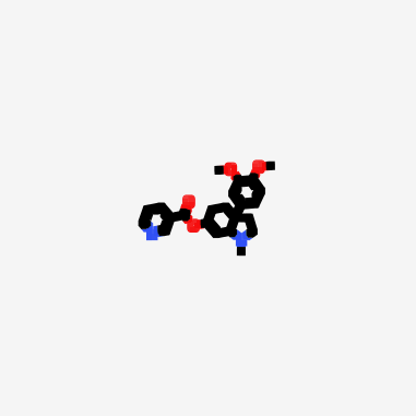 COc1ccc(C23CCC(OC(=O)c4cccnc4)=CC2N(C)CC3)cc1OC